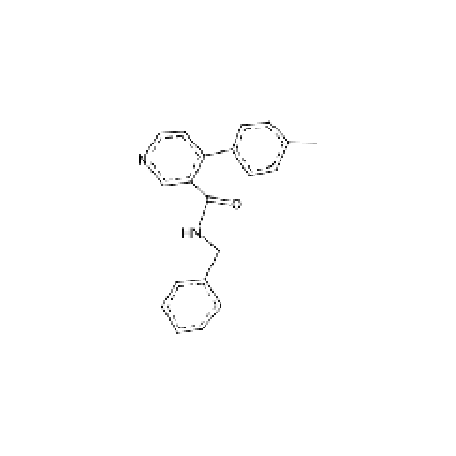 Cc1ccc(-c2ccncc2C(=O)NCc2ccccc2)cc1